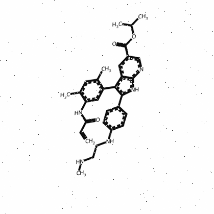 C=CC(=O)Nc1cc(-c2c(-c3ccc(NCCNC)cc3)[nH]c3ncc(C(=O)OC(C)C)cc23)c(C)cc1C